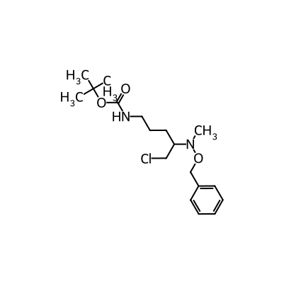 CN(OCc1ccccc1)C(CCl)CCCNC(=O)OC(C)(C)C